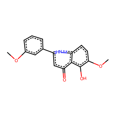 COc1cccc(-c2cc(=O)c3c(O)c(OC)ccc3[nH]2)c1